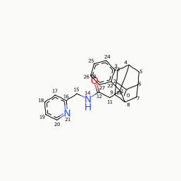 CC1C2CC3CC1CC(C2)C3(CC(=O)NCc1ccccn1)c1ccccc1